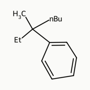 CCCCC(C)(CC)c1ccccc1